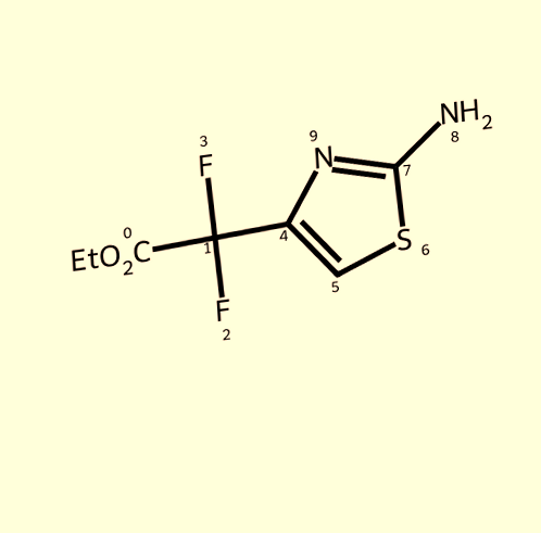 CCOC(=O)C(F)(F)c1csc(N)n1